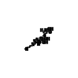 CN=CCC/C=N/Cc1ncnc2c1ncn2[C@@H]1O[C@H](CSCC[C@H](N)C(=O)O)[C@@H](O)[C@H]1O